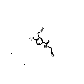 C#CCNC(=O)c1ccc(N)c(N=[N+]=[N-])c1